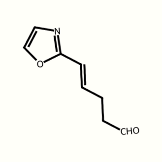 O=CCCC=Cc1ncco1